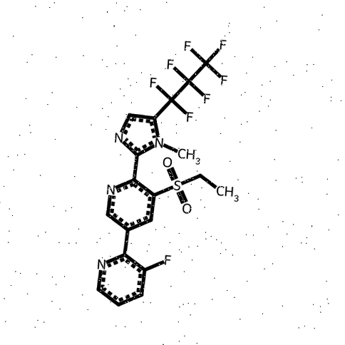 CCS(=O)(=O)c1cc(-c2ncccc2F)cnc1-c1ncc(C(F)(F)C(F)(F)C(F)(F)F)n1C